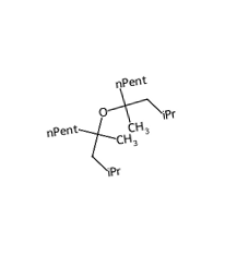 CCCCCC(C)(CC(C)C)OC(C)(CCCCC)CC(C)C